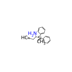 C#CCC(N)[Si](C)(c1ccccc1)c1ccccc1